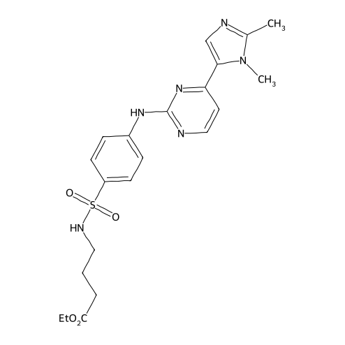 CCOC(=O)CCCNS(=O)(=O)c1ccc(Nc2nccc(-c3cnc(C)n3C)n2)cc1